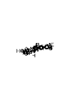 CN=S(C)(=O)c1ccc(-c2ccc(-c3nc4[nH]c(O[C@@H]5COC6[C@H](O)CO[C@@H]65)nc4cc3Cl)cc2)cc1